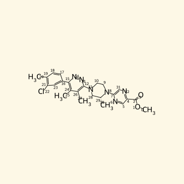 COC(=O)c1cnc(N2CCN(c3nnc(-c4ccc(C)c(Cl)c4)c(C)c3C)C[C@H]2C)cn1